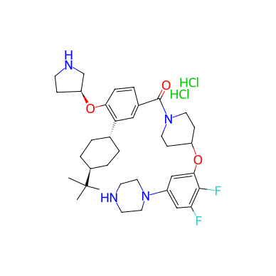 CC(C)(C)[C@H]1CC[C@H](c2cc(C(=O)N3CCC(Oc4cc(N5CCNCC5)cc(F)c4F)CC3)ccc2O[C@H]2CCNC2)CC1.Cl.Cl